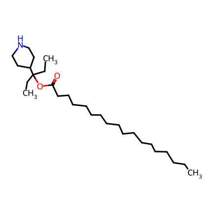 CCCCCCCCCCCCCCCCCC(=O)OC(CC)(CC)C1CCNCC1